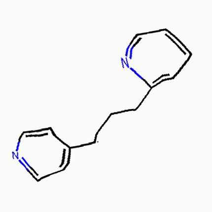 [CH](CCc1ccccn1)c1ccncc1